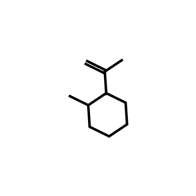 C=C(C)[C]1CCCCC1C